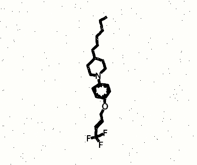 CCCCCCC1CCN(c2ccc(OCC=CC(F)(F)F)cc2)CC1